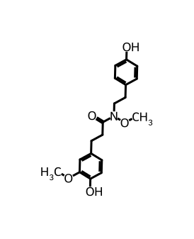 COc1cc(CCC(=O)N(CCc2ccc(O)cc2)OC)ccc1O